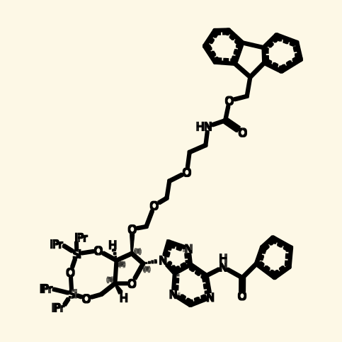 CC(C)[Si]1(C(C)C)OC[C@H]2O[C@@H](n3cnc4c(NC(=O)c5ccccc5)ncnc43)[C@H](OCOCCOCCNC(=O)OCC3c4ccccc4-c4ccccc43)[C@@H]2O[Si](C(C)C)(C(C)C)O1